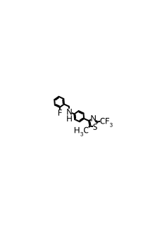 Cc1sc(C(F)(F)F)nc1-c1ccc(NCc2ccccc2F)cc1